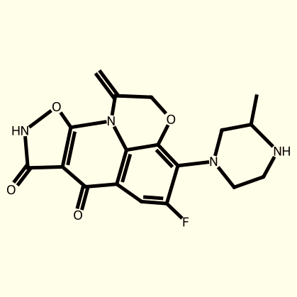 C=C1COc2c(N3CCNC(C)C3)c(F)cc3c(=O)c4c(=O)[nH]oc4n1c23